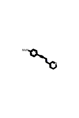 CNc1ccc(C#C/C=C/C2=CCCN=C2)cc1